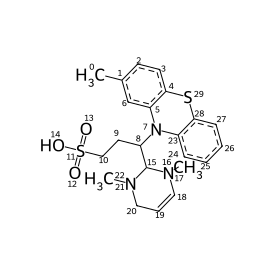 Cc1ccc2c(c1)N(C(CCS(=O)(=O)O)C1N(C)C=CCN1C)c1ccccc1S2